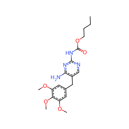 CCCCOC(=O)Nc1ncc(Cc2cc(OC)c(OC)c(OC)c2)c(N)n1